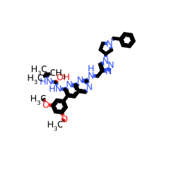 COc1cc(OC)cc(-c2cc3cnc(NCc4cn(C5CCN(Cc6ccccc6)C5)nn4)nc3nc2NC(O)NC(C)(C)C)c1